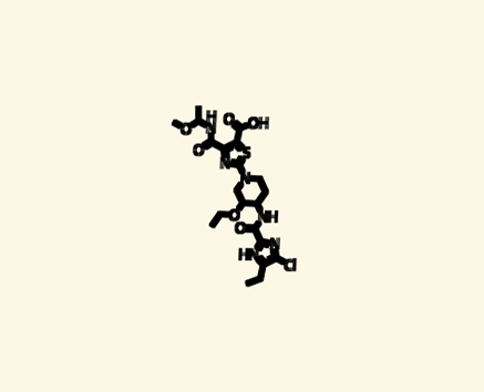 CCOC1CN(c2nc(C(=O)NC(C)OC)c(C(=O)O)s2)CCC1NC(=O)c1nc(Cl)c(CC)[nH]1